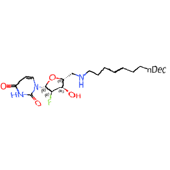 CCCCCCCCCCCCCCCCCNC[C@H]1O[C@@H](n2ccc(=O)[nH]c2=O)[C@H](F)[C@@H]1O